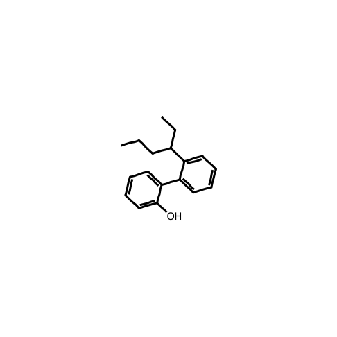 CCCC(CC)c1ccccc1-c1ccccc1O